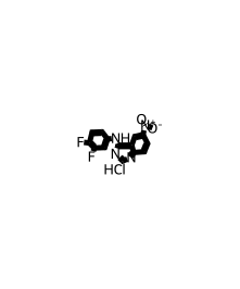 Cl.O=[N+]([O-])c1ccc2ncnc(Nc3ccc(F)c(F)c3)c2c1